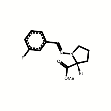 CC[C@]1(C(=O)OC)CCCN1N=Cc1cccc(F)c1